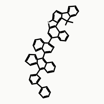 CC1(C)c2ccccc2-c2ccc3sc4cc(-c5ccc(-c6c7ccccc7c(-c7cccc(-c8ccccc8)c7)c7ccccc67)c6ccccc56)c5ccccc5c4c3c21